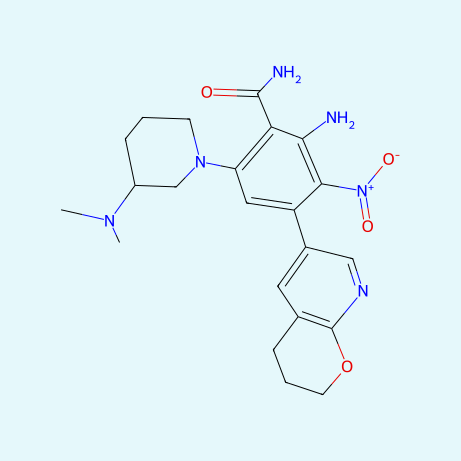 CN(C)C1CCCN(c2cc(-c3cnc4c(c3)CCCO4)c([N+](=O)[O-])c(N)c2C(N)=O)C1